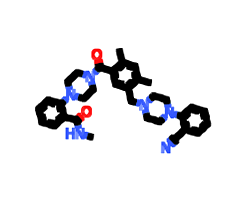 CNC(=O)c1ccccc1N1CCN(C(=O)c2cc(CN3CCN(c4ccccc4C#N)CC3)c(C)cc2C)CC1